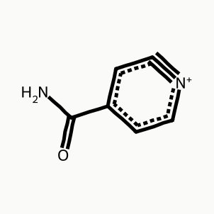 NC(=O)c1cc#[n+]cc1